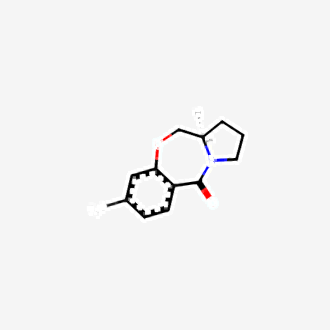 O=C1c2ccc(C(F)(F)F)cc2OC[C@H]2CCCN12